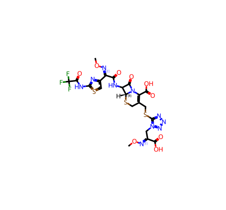 CO/N=C(\Cn1nnnc1SCC1=C(C(=O)O)N2C(=O)C(NC(=O)/C(=N/OC)c3csc(NC(=O)C(F)(F)F)n3)[C@H]2SC1)C(=O)O